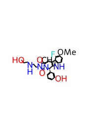 COc1ccc2[nH]c3c(c2c1F)C[C@@]1(C)C(=O)N(CCNCCO)C(=O)N1[C@@H]3c1cccc(O)c1